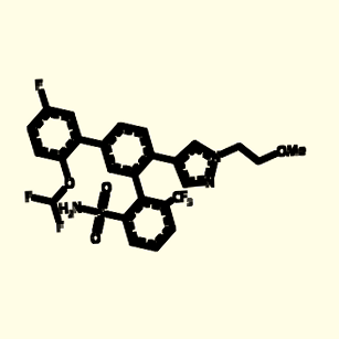 COCCn1cc(-c2ccc(-c3cc(F)ccc3OC(F)F)cc2-c2c(C(F)(F)F)cccc2S(N)(=O)=O)cn1